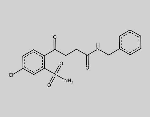 NS(=O)(=O)c1cc(Cl)ccc1C(=O)CCC(=O)NCc1ccccc1